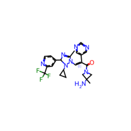 CC1=NC(c2ccnc(C(F)(F)F)c2)N(C2CC2)N1/C=C(/C(=O)N1CC(C)(N)C1)c1cncnc1